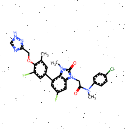 Cc1cc(-c2cc(F)cc3c2n(C)c(=O)n3CC(=O)N(C)c2ccc(Cl)cc2)cc(F)c1OCc1nc[nH]n1